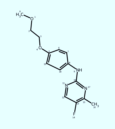 COCCOc1ccc(Nc2ncc(F)c(C)n2)cc1